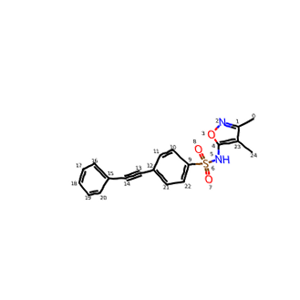 Cc1noc(NS(=O)(=O)c2ccc(C#Cc3ccccc3)cc2)c1C